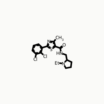 CCN1CCCC1CNC(=O)c1sc(-c2cccc(Cl)c2Cl)nc1C